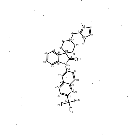 Cn1ccnc1CN1CCC2(CC1)C(=O)N(c1ccc3nc(C(F)(F)F)ccc3c1)c1ccccc12